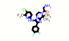 CC1(C)c2nc(-c3ccc(F)c(F)c3)c(Nc3ccc(Cl)c(C(F)(F)F)n3)n2CCN1C(=O)CN